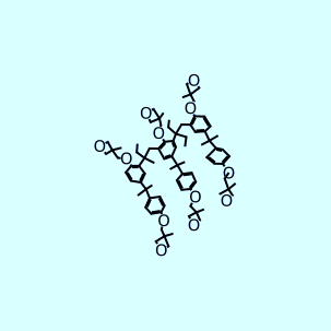 CCC(C)(Cc1cc(C(C)(C)c2ccc(OCC3(C)COC3)cc2)cc(C(CC)(CC)Cc2cc(C(C)(C)c3ccc(OCC4(C)COC4)cc3)ccc2OCC2(C)COC2)c1OCC1(C)COC1)c1cc(C(C)(C)c2ccc(OCC3(C)COC3)cc2)ccc1OCC1(C)COC1